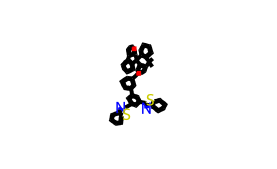 CC1(C)c2ccccc2C2(c3ccccc3-c3ccccc32)c2cc(-c3cccc(-c4cc(-c5nc6ccccc6s5)cc(-c5nc6ccccc6s5)c4)c3)ccc21